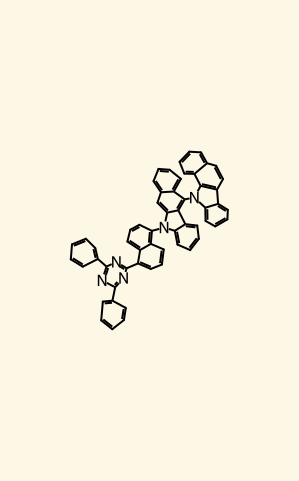 c1ccc(-c2nc(-c3ccccc3)nc(-c3cccc4c(-n5c6ccccc6c6c(-n7c8ccccc8c8ccc9ccccc9c87)c7ccccc7cc65)cccc34)n2)cc1